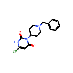 O=c1cc(Cl)[nH]c(=O)n1C1CCN(Cc2ccccc2)CC1